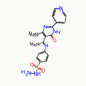 CNC(=Nc1ccc(S(=O)(=O)NN)cc1)c1c(NC)nc(-c2ccncc2)[nH]c1=O